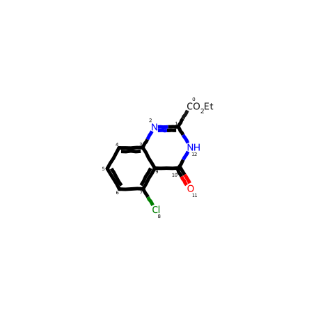 CCOC(=O)c1nc2cccc(Cl)c2c(=O)[nH]1